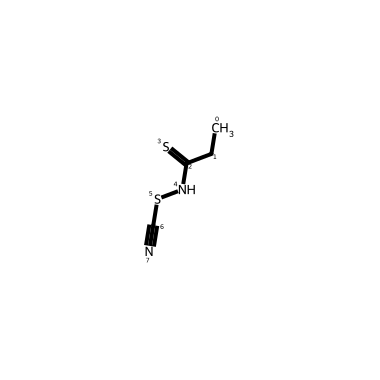 CCC(=S)NSC#N